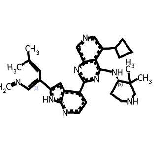 C=N/C=C(\C=C(C)C)c1cc2c(-c3nc(N[C@H]4CCNCC4(C)C)c4c(C5CCC5)cncc4n3)ccnc2[nH]1